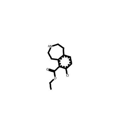 CCOC(=O)c1c(Cl)ccc2c1CCNCC2